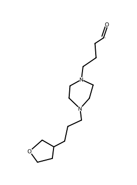 O=[C]CCCN1CCN(CCCC2CCOC2)CC1